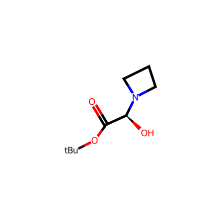 CC(C)(C)OC(=O)[C@H](O)N1CCC1